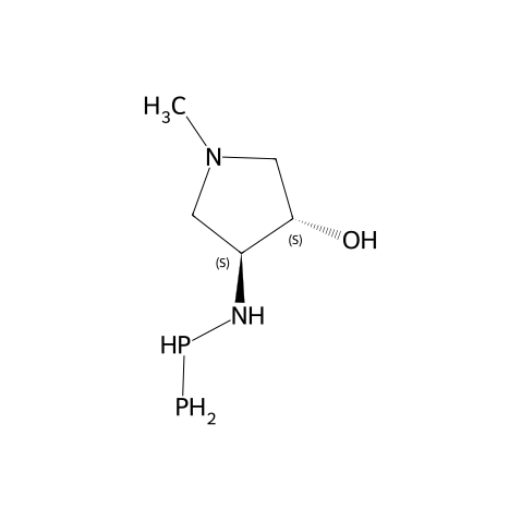 CN1C[C@H](NPP)[C@@H](O)C1